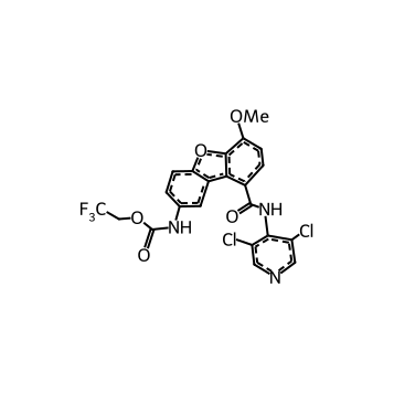 COc1ccc(C(=O)Nc2c(Cl)cncc2Cl)c2c1oc1ccc(NC(=O)OCC(F)(F)F)cc12